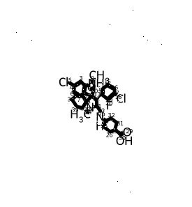 CNc1cc(Cl)ccc1C1(C=O)[C@@H](c2cccc(Cl)c2F)C(CNC2CCC(C(=O)O)CC2)N(C)C12CCCCC2